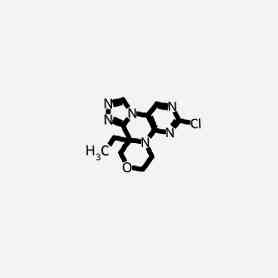 CCC12COCCN1c1nc(Cl)ncc1-n1cnnc12